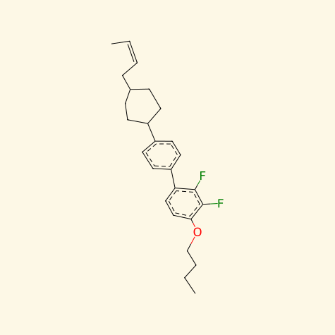 C/C=C\CC1CCC(c2ccc(-c3ccc(OCCCC)c(F)c3F)cc2)CC1